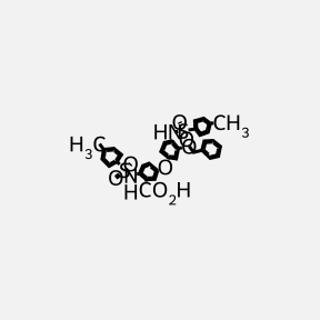 Cc1ccc(S(=O)(=O)Nc2ccc(Oc3ccc(NS(=O)(=O)c4ccc(C)cc4)c(C(=O)O)c3)cc2OCc2ccccc2)cc1